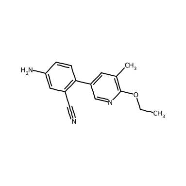 CCOc1ncc(-c2ccc(N)cc2C#N)cc1C